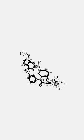 CCn1cnc2c(Nc3cccc(NC(=O)C#CC(C)(C)C)c3)nc(N[C@H]3CC[C@H](O)CC3)nc21